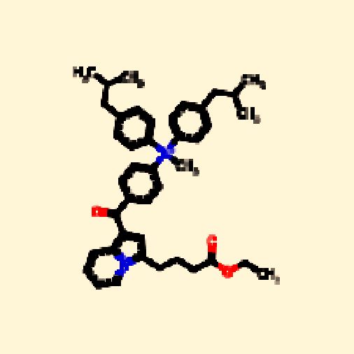 CCOC(=O)CCCc1cc(C(=O)c2ccc([N+](C)(c3ccc(CC(C)C)cc3)c3ccc(CC(C)C)cc3)cc2)c2ccccn12